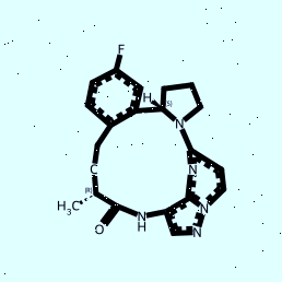 C[C@@H]1CCc2ccc(F)cc2[C@@H]2CCCN2c2ccn3ncc(c3n2)NC1=O